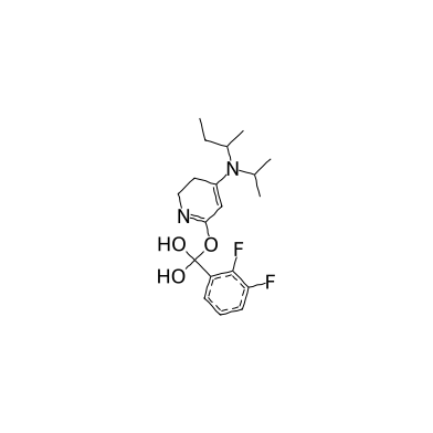 CCC(C)N(C1=CC(OC(O)(O)c2cccc(F)c2F)=NCC1)C(C)C